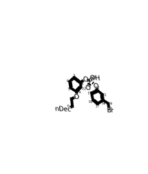 CCCCCCCCCCCCOc1cccc(OP(=O)(O)Oc2cccc(CBr)c2)c1